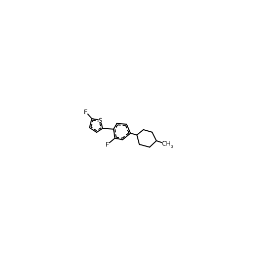 CC1CCC(c2ccc(-c3ccc(F)s3)c(F)c2)CC1